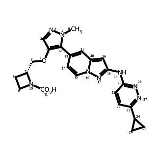 Cn1ncc(OC[C@H]2CCN2C(=O)O)c1-c1ccn2nc(Nc3ccc(C4CC4)nn3)cc2c1